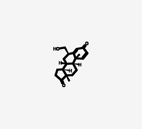 C[C@]12C=CC(=O)C=C1[C@H](CO)C[C@@H]1[C@@H]2CC[C@]2(C)C(=O)CC[C@@H]12